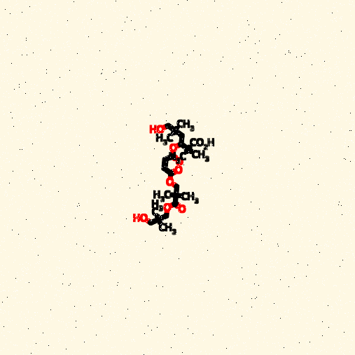 CC(C)(CO)COC(=O)C(C)(C)COC(=O)/C=C\C(=O)OC(CC(C)(C)CO)C(C)(C)C(=O)O